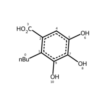 CCCCc1c(C(=O)O)cc(O)c(O)c1O